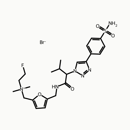 CC(C)C(C(=O)NCc1ccc(C[N+](C)(C)CCF)o1)n1cc(-c2ccc(S(N)(=O)=O)cc2)nn1.[Br-]